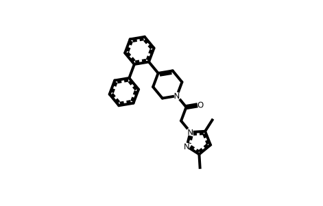 Cc1cc(C)n(CC(=O)N2CC=C(c3ccccc3-c3ccccc3)CC2)n1